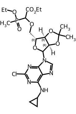 CCOC(=O)C(OC[C@H]1OC(n2cnc3c(NC4CC4)nc(Cl)nc32)[C@@H]2OC(C)(C)O[C@H]12)P(C)(=O)OCC